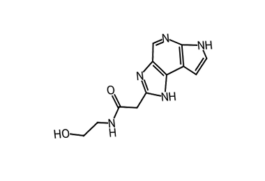 O=C(Cc1nc2cnc3[nH]ccc3c2[nH]1)NCCO